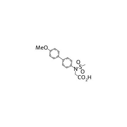 COc1ccc(-c2ccc(N(CC(=O)O)S(C)(=O)=O)cc2)cc1